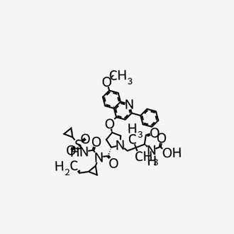 C=CC1CC1N(C(=O)NS(=O)(=O)C1CC1)C(=O)[C@@H]1C[C@@H](Oc2cc(-c3ccccc3)nc3cc(OC)ccc23)CN1CC(C)(C)[C@@H](C=O)NC(=O)O